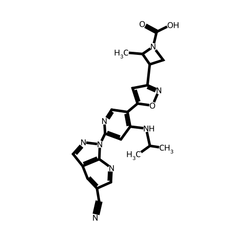 CC(C)Nc1cc(-n2ncc3cc(C#N)cnc32)ncc1-c1cc(C2CN(C(=O)O)C2C)no1